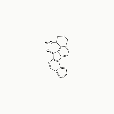 CC(=O)OC1CCCc2ccc3c(c21)C(=O)c1ccc2ccccc2c1-3